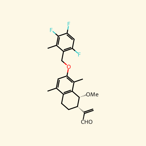 C=C(C=O)[C@@H]1CCc2c(C)cc(OCc3c(F)cc(F)c(F)c3C)c(C)c2[C@@H]1OC